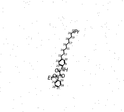 CCON(C(=O)C(=O)Nc1ccc(CCCCCCCCCC(C)C)cc1)c1ccccc1